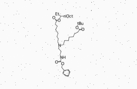 CCCCCCCCC(CC)OC(=O)CCCCCCCN(CCCCCCCC(=O)OC(C)(C)C)CCCNC(=O)OCc1ccccc1